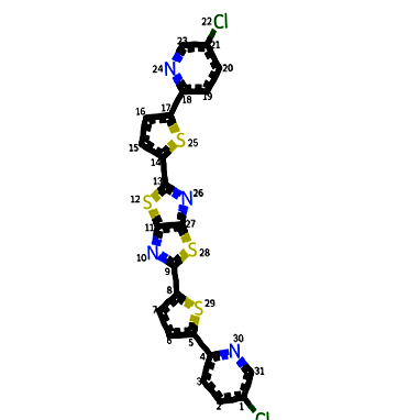 Clc1ccc(-c2ccc(-c3nc4sc(-c5ccc(-c6ccc(Cl)cn6)s5)nc4s3)s2)nc1